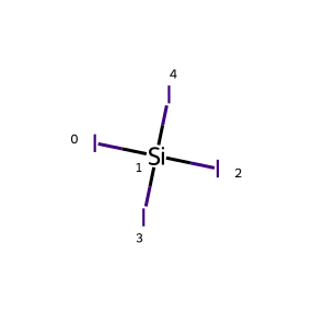 I[Si](I)(I)I